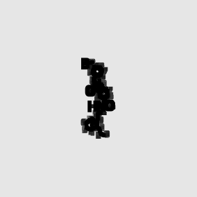 CCCC1CCCCN1CCCNC(=O)c1ccc2c(c1)C(=O)N(Cc1cccc(Br)c1)C2